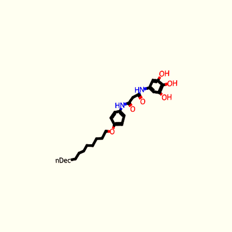 CCCCCCCCCCCCCCCCCCOc1ccc(NC(=O)CC(=O)Nc2cc(O)c(O)c(O)c2)cc1